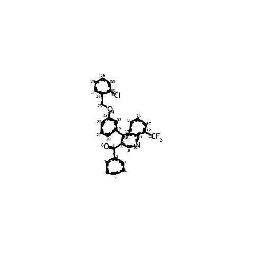 O=C(c1ccccc1)c1cnc2c(C(F)(F)F)cccc2c1-c1cccc(OCc2ccccc2Cl)c1